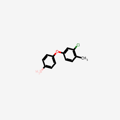 Bc1ccc(Oc2ccc(C)c(Cl)c2)cc1